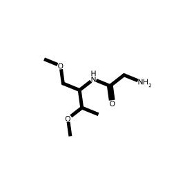 COCC(NC(=O)CN)C(C)OC